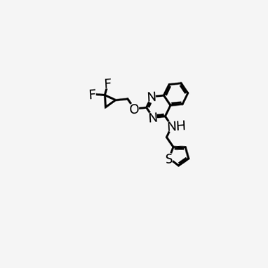 FC1(F)CC1COc1nc(NCc2cccs2)c2ccccc2n1